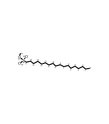 CCCCCCCCCCCCCCCCCC[Si](Cl)(Cl)OC